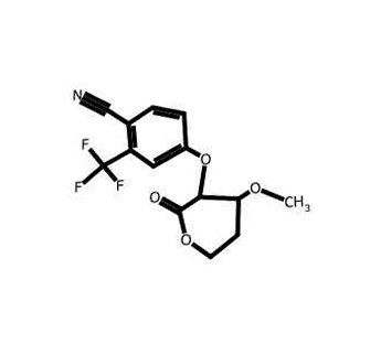 COC1CCOC(=O)C1Oc1ccc(C#N)c(C(F)(F)F)c1